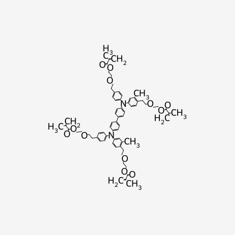 C=C(C)C(=O)OCCOCCc1ccc(N(c2ccc(-c3ccc(N(c4ccc(CCOCCOC(=O)C(=C)C)cc4)c4ccc(CCOCCOC(=O)C(=C)C)c(C)c4)cc3)cc2)c2ccc(CCOCCOC(=O)C(=C)C)c(C)c2)cc1